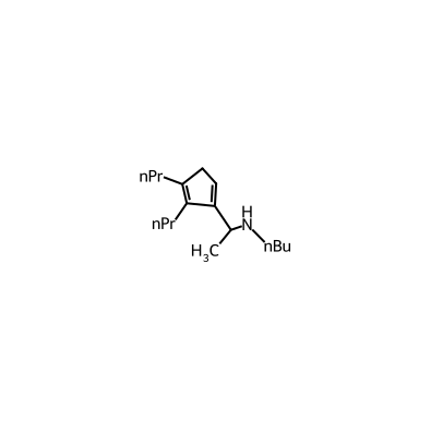 CCCCNC(C)C1=CCC(CCC)=C1CCC